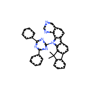 CC1(C)c2ccccc2-c2ccc3c4ccc5cncnc5c4n(-c4nc(-c5ccccc5)nc(-c5ccccc5)n4)c3c21